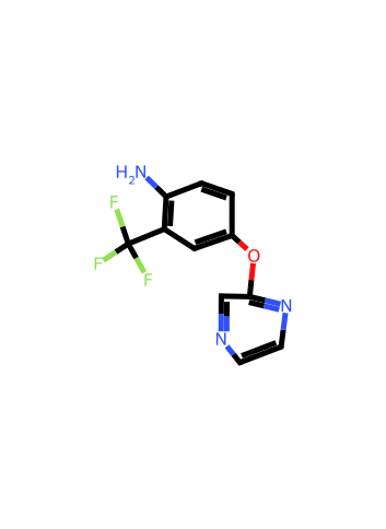 Nc1ccc(Oc2cnccn2)cc1C(F)(F)F